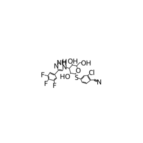 N#Cc1ccc(S[C@H]2OC(CO)[C@H](O)C(N/C=C(\N=N)c3cc(F)c(F)c(F)c3)C2O)cc1Cl